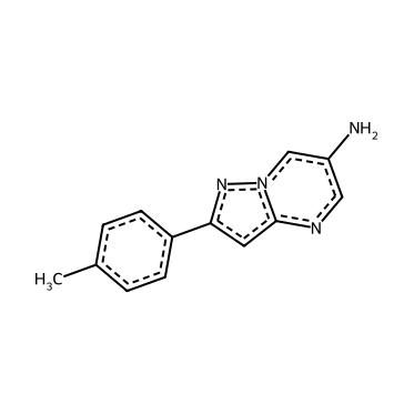 Cc1ccc(-c2cc3ncc(N)cn3n2)cc1